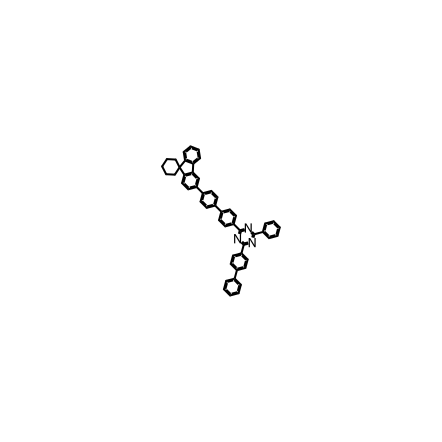 c1ccc(-c2ccc(-c3nc(-c4ccccc4)nc(-c4ccc(-c5ccc(-c6ccc7c(c6)-c6ccccc6C76CCCCC6)cc5)cc4)n3)cc2)cc1